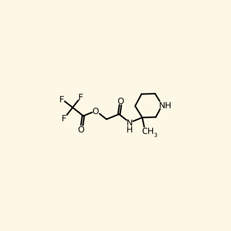 CC1(NC(=O)COC(=O)C(F)(F)F)CCCNC1